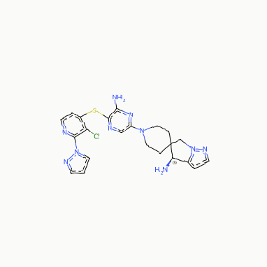 Nc1nc(N2CCC3(CC2)Cn2nccc2[C@H]3N)cnc1Sc1ccnc(-n2cccn2)c1Cl